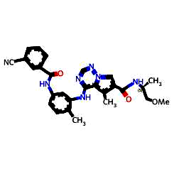 COC[C@H](C)NC(=O)c1cn2ncnc(Nc3cc(NC(=O)c4cccc(C#N)c4)ccc3C)c2c1C